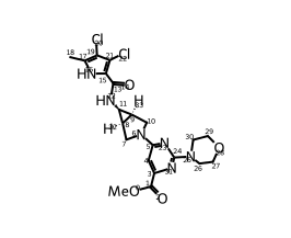 COC(=O)c1cc(N2C[C@@H]3[C@H](C2)[C@@H]3NC(=O)c2[nH]c(C)c(Cl)c2Cl)nc(N2CCOCC2)n1